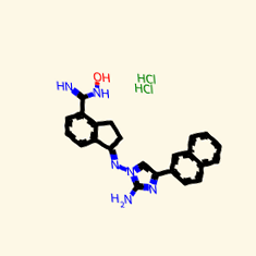 Cl.Cl.N=C(NO)c1cccc2c1CCC2=Nn1cc(-c2ccc3ccccc3c2)nc1N